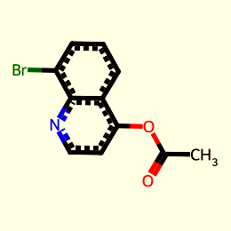 CC(=O)Oc1ccnc2c(Br)cccc12